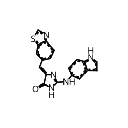 O=C1NC(Nc2ccc3[nH]ccc3c2)=NC1=Cc1ccc2ncsc2c1